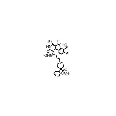 CCC1=C(NC=O)C(c2ccc(F)c(F)c2)N(N(C=O)CCCN2CCC(C(=O)OC)(c3ccccc3)CC2)C(=O)N1